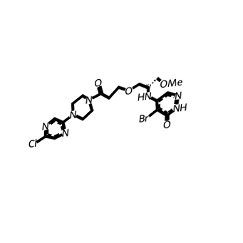 COC[C@@H](COCCC(=O)N1CCN(c2cnc(Cl)cn2)CC1)Nc1cn[nH]c(=O)c1Br